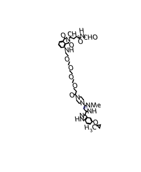 CN/C(=C\C(=N)c1n[nH]c2ccc(OC3(C)CC3)cc12)N1CCN(C(=O)CCOCCOCCOCCOCCNc2cccc3c2C(=O)N(C(C)CCC(=O)NC=O)C3=O)CC1